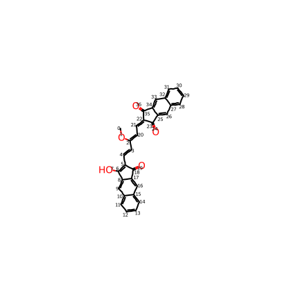 COC(C=CC1=C(O)c2cc3ccccc3cc2C1=O)=CC=C1C(=O)c2cc3ccccc3cc2C1=O